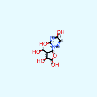 OCC1C(O)C(O)OC1N1N=CC(O)=NC1O